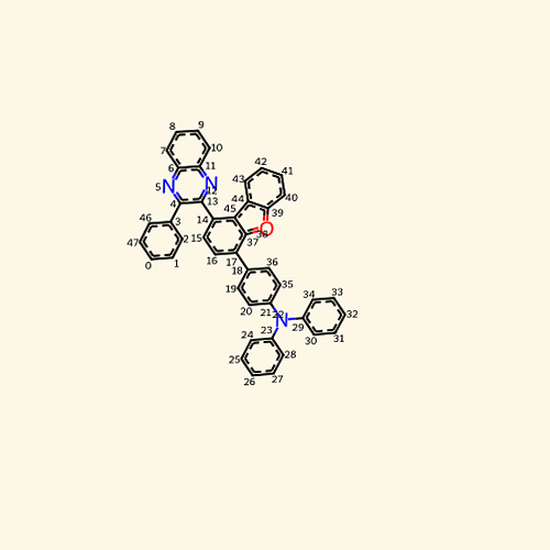 c1ccc(-c2nc3ccccc3nc2-c2ccc(-c3ccc(N(c4ccccc4)c4ccccc4)cc3)c3oc4ccccc4c23)cc1